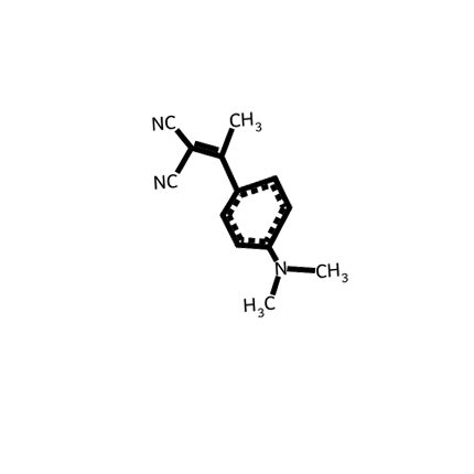 CC(=C(C#N)C#N)c1ccc(N(C)C)cc1